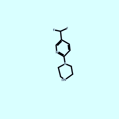 FC(F)c1ccc(N2CCNCC2)nc1